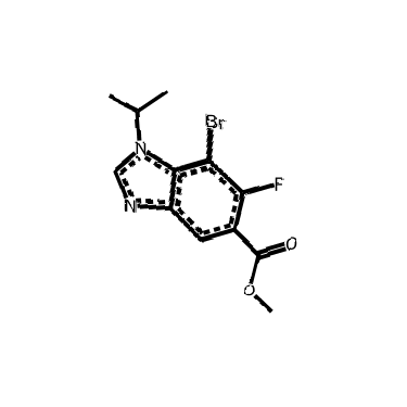 COC(=O)c1cc2ncn(C(C)C)c2c(Br)c1F